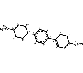 CCCCCC1CC=C(c2ccc([C@H]3CC[C@H](CCCCC)CC3)cc2)CC1